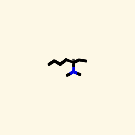 CCCC[C@@H](CC)N(C)C